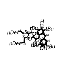 CCCCCCCCCCCCSC(COC(=O)C(Cc1cc(C(C)(C)C)c(O)c(C(C)(C)C)c1Cc1cc(C(C)(C)C)c(O)c(C(C)(C)C)c1)C(=O)O)SCCCCCCCCCCCC